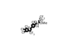 COC(C[S+]([O-])CC(F)(F)F)NC(=O)c1ccc(/C(F)=C/C(c2cc(Cl)c(Cl)c(Cl)c2)C(F)(F)F)cc1C(F)(F)F